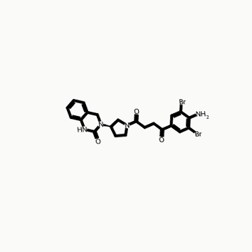 Nc1c(Br)cc(C(=O)CCC(=O)N2CC[C@@H](N3Cc4ccccc4NC3=O)C2)cc1Br